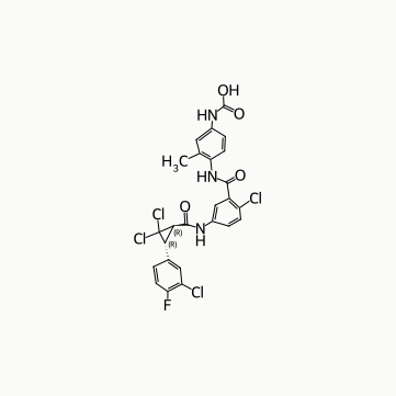 Cc1cc(NC(=O)O)ccc1NC(=O)c1cc(NC(=O)[C@H]2[C@H](c3ccc(F)c(Cl)c3)C2(Cl)Cl)ccc1Cl